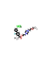 CC(C(=O)OCCCN1CCN(CCCO[N+](=O)[O-])CC1)c1ccc(-c2ccccc2)c(F)c1.Cl.Cl